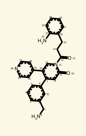 NCc1cccc(-c2cc(=O)n(C(=O)CCc3ccccc3N)cc2-c2ccncc2)c1